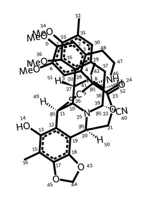 COc1cc2c(cc1OC)[C@@]1(CS[C@@H]3c4c(O)c(C)c5c(c4[C@H](COC1=O)N1C3[C@@H]3c4c(cc(C)c(OC)c4OC)C[C@@H]([C@@H]1C#N)N3C)OCO5)NCC2